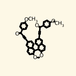 COc1ccc(C(=O)C#Cc2ccc3c4c(ccc3c2)OCOc2ccc3cc(C#CC(=O)c5ccc(OC)cc5)ccc3c2-4)cc1